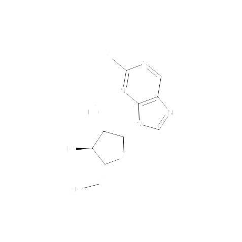 OC[C@H]1O[C@@H](n2cnc3cnc(Cl)nc32)[C@@H](O)[C@@H]1O